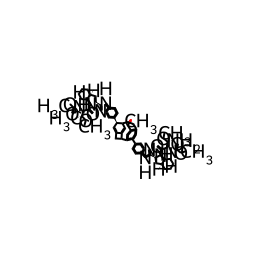 CCc1cc2c(-c3ccc4[nH]c([C@@H]5C[C@@H]6CCCC[C@@H]6N5C(=O)[C@@H](NC(=O)OC)[C@@H](N)OC)nc4c3)cc1CCC1C=C3C(=C[C@H]1c1ccc4[nH]c([C@@H]5C[C@@H]6CCCC[C@@H]6N5C(=O)[C@@H](NC(=O)OC)[C@@H](C)OC)nc4c1)CC32